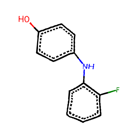 Oc1ccc(Nc2ccccc2F)cc1